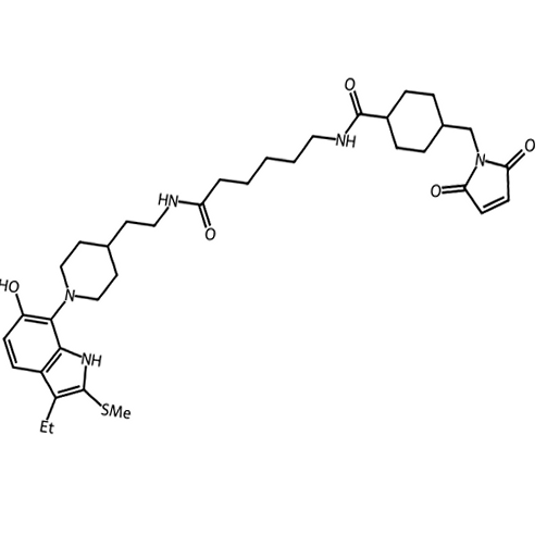 CCc1c(SC)[nH]c2c(N3CCC(CCNC(=O)CCCCCNC(=O)C4CCC(CN5C(=O)C=CC5=O)CC4)CC3)c(O)ccc12